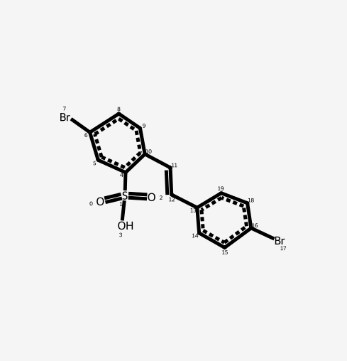 O=S(=O)(O)c1cc(Br)ccc1/C=C/c1ccc(Br)cc1